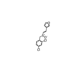 [O-][S+](C=Cc1ccoc1)Cc1ccc(Cl)cc1Cl